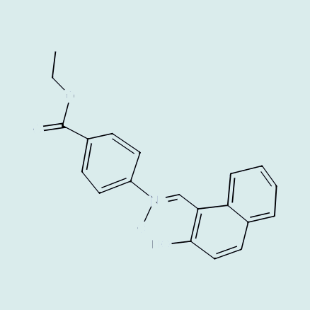 CCOC(=O)c1ccc([N+]([O-])=Cc2c(O)ccc3ccccc23)cc1